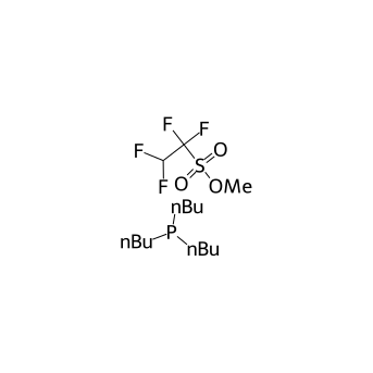 CCCCP(CCCC)CCCC.COS(=O)(=O)C(F)(F)C(F)F